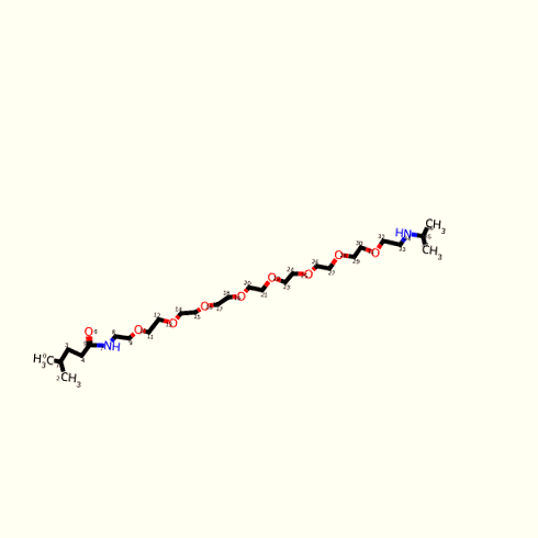 CC(C)CCC(=O)NCCOCCOCCOCCOCCOCCOCCOCCOCCNC(C)C